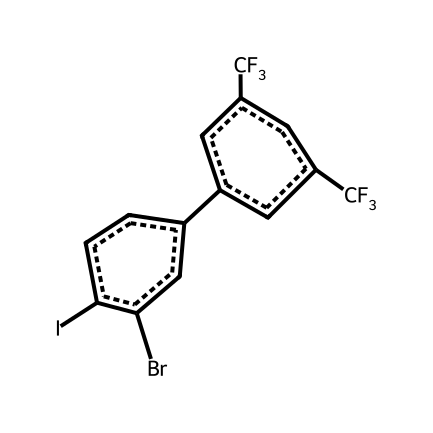 FC(F)(F)c1cc(-c2ccc(I)c(Br)c2)cc(C(F)(F)F)c1